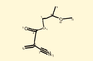 C=C(C#N)C(=O)OCC(C)OC